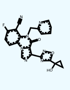 N#Cc1c(F)ccc2c1n(Cc1ccccn1)c(=O)c1c(-c3noc(C4(O)CC4)n3)ncn12